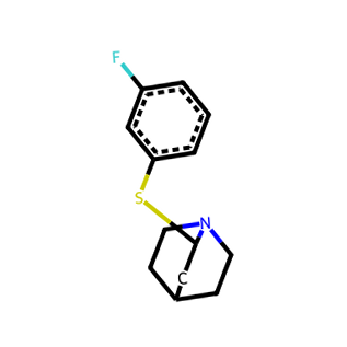 Fc1cccc(SC2CC3CCN2CC3)c1